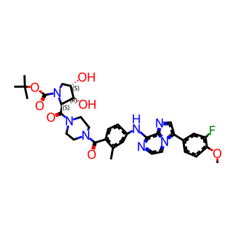 COc1ccc(-c2cnc3c(Nc4ccc(C(=O)N5CCN(C(=O)[C@@H]6[C@@H](O)[C@@H](O)CN6C(=O)OC(C)(C)C)CC5)c(C)c4)nccn23)cc1F